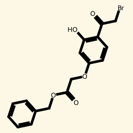 O=C(COc1ccc(C(=O)CBr)c(O)c1)OCc1ccccc1